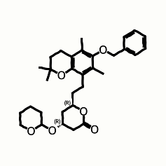 Cc1c(CC[C@@H]2C[C@@H](OC3CCCCO3)CC(=O)O2)c2c(c(C)c1OCc1ccccc1)CCC(C)(C)O2